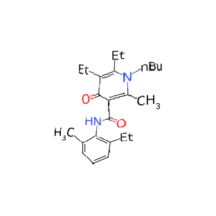 CCCCn1c(C)c(C(=O)Nc2c(C)cccc2CC)c(=O)c(CC)c1CC